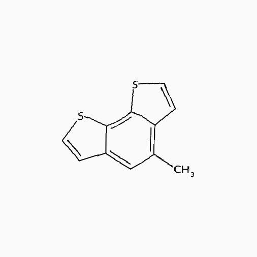 Cc1cc2ccsc2c2sccc12